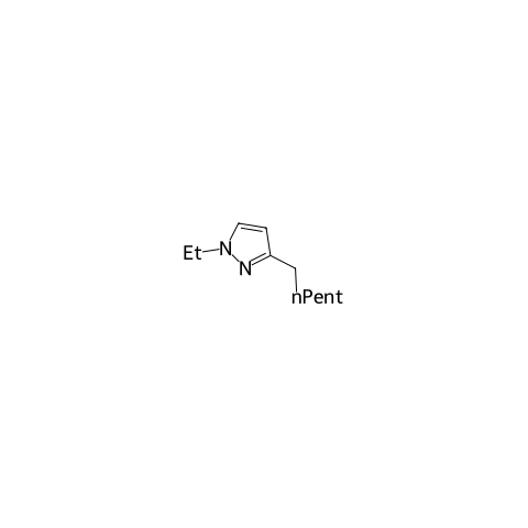 [CH2]CCCCCc1ccn(CC)n1